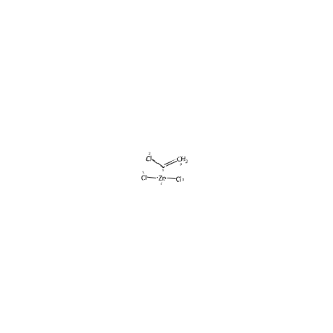 C=CCl.[Cl][Zn][Cl]